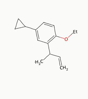 [CH2]C(C=C)c1cc(C2CC2)ccc1OCC